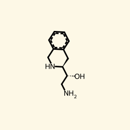 NC[C@@H](O)[C@@H]1Cc2ccccc2CN1